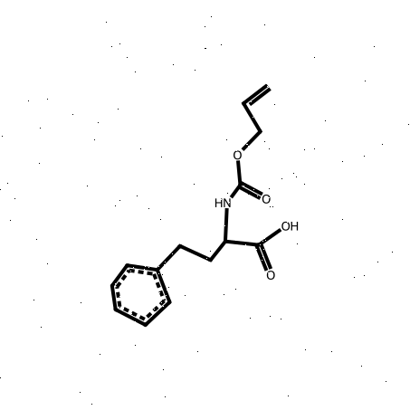 C=CCOC(=O)NC(CCc1ccccc1)C(=O)O